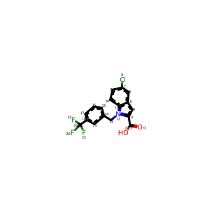 O=C(O)c1cc2cc(Cl)ccc2n1Cc1cccc(C(F)(F)F)c1